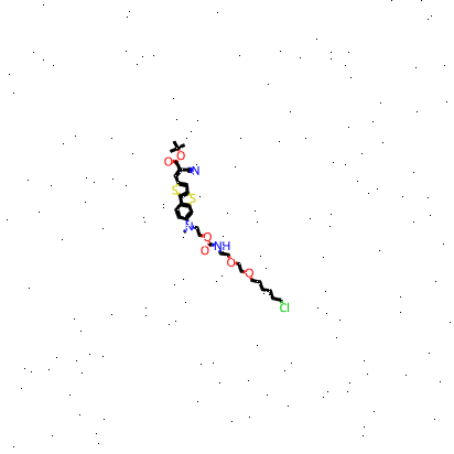 CN(CCOC(=O)NCCOCCOCCCCCCCl)c1ccc2c(c1)sc1cc(/C=C(\C#N)C(=O)OC(C)(C)C)sc12